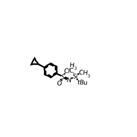 CC(C)(C)[Si](C)(C)N=S(=O)(Cl)c1ccc(C2CC2)cc1